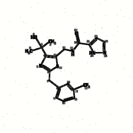 CC(C)(O)c1nc(Cc2cccc(C(F)(F)F)c2)sc1CNC(=O)c1ccn[nH]1